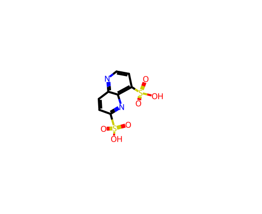 O=S(=O)(O)c1ccc2nccc(S(=O)(=O)O)c2n1